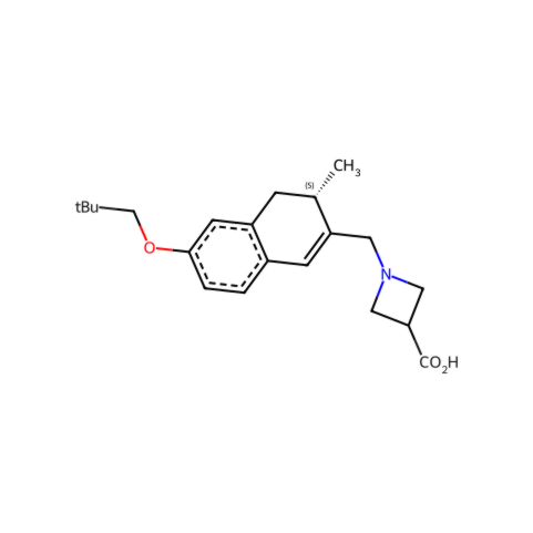 C[C@H]1Cc2cc(OCC(C)(C)C)ccc2C=C1CN1CC(C(=O)O)C1